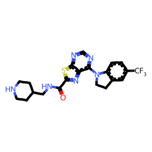 O=C(NCC1CCNCC1)c1nc2c(N3CCc4cc(C(F)(F)F)ccc43)ncnc2s1